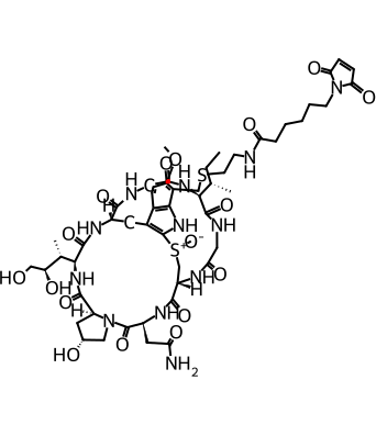 CC[C@H](C)[C@@H]1NC(=O)CNC(=O)[C@@H]2Cc3c([nH]c4c(CSCCNC(=O)CCCCCN5C(=O)C=CC5=O)c(OC)ccc34)[S+]([O-])C[C@H](NC(=O)CNC1=O)C(=O)N[C@@H](CC(N)=O)C(=O)N1C[C@H](O)C[C@H]1C(=O)N[C@@H]([C@@H](C)[C@@H](O)CO)C(=O)N2